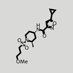 COCCCS(=O)(=O)N1CC[C@H](NC(=O)c2cc(C3CC3)on2)C[C@H]1C